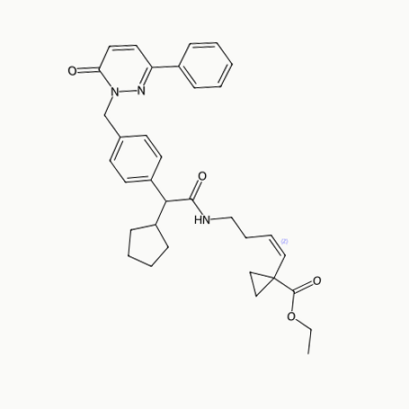 CCOC(=O)C1(/C=C\CCNC(=O)C(c2ccc(Cn3nc(-c4ccccc4)ccc3=O)cc2)C2CCCC2)CC1